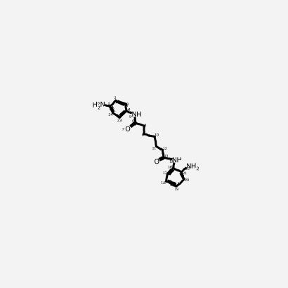 Nc1ccc(NC(=O)CCCCCC(=O)Nc2ccccc2N)cc1